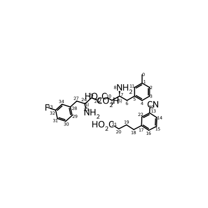 Cc1cccc(C[C@H](N)CC(=O)O)c1.N#Cc1cccc(CCCC(=O)O)c1.N[C@H](CC(=O)O)Cc1cccc(F)c1